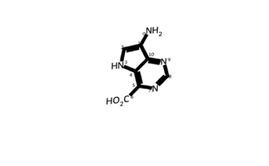 Nc1c[nH]c2c(C(=O)O)ncnc12